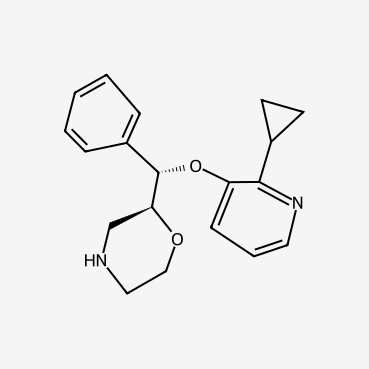 c1ccc([C@H](Oc2cccnc2C2CC2)[C@@H]2CNCCO2)cc1